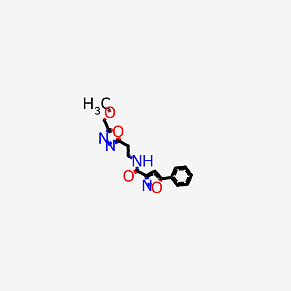 COCc1nnc(CCNC(=O)c2cc(-c3ccccc3)on2)o1